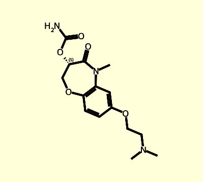 CN(C)CCOc1ccc2c(c1)N(C)C(=O)[C@@H](OC(N)=O)CO2